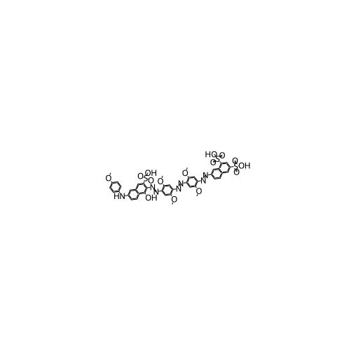 COc1ccc(Nc2ccc3c(O)c(N=Nc4cc(OC)c(N=Nc5cc(OC)c(N=Nc6ccc7cc(S(=O)(=O)O)cc(S(=O)(=O)O)c7c6)cc5OC)cc4OC)c(S(=O)(=O)O)cc3c2)cc1